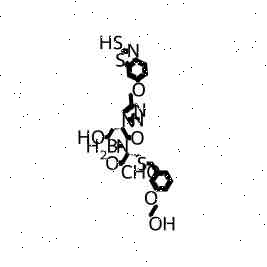 BN(C(=O)[C@H](CCO)n1cc(COc2ccc3nc(S)sc3c2)nn1)[C@H](CSCc1cccc(OCCO)c1)C(=O)C=O